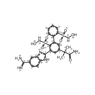 CC(C)(C(N)=O)c1cc(-c2nc3cc(C(=N)N)ccc3[nH]2)c(S(=O)(=O)NO)c(-c2ccccc2S(=O)(=O)NO)c1